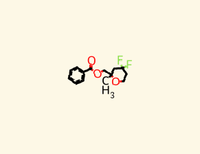 CC1(COC(=O)c2ccccc2)CC(F)(F)CCO1